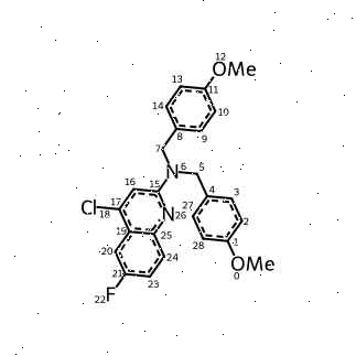 COc1ccc(CN(Cc2ccc(OC)cc2)c2cc(Cl)c3cc(F)ccc3n2)cc1